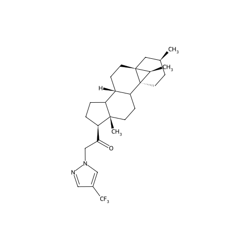 C[C@H]1CC[C@]23C4CC[C@@]5(C)C(CC[C@@H]5C(=O)Cn5cc(C(F)(F)F)cn5)[C@@H]4CC[C@@]2(C1)[C@H]3C